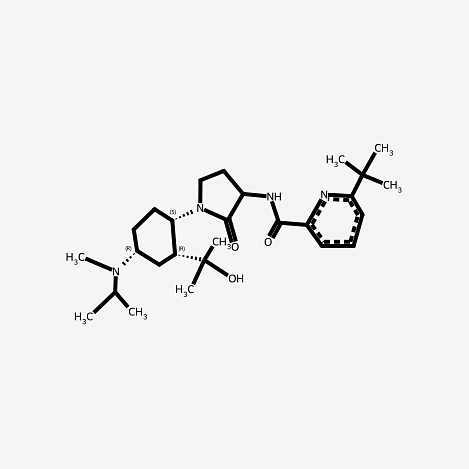 CC(C)N(C)[C@@H]1CC[C@H](N2CCC(NC(=O)c3cccc(C(C)(C)C)n3)C2=O)[C@H](C(C)(C)O)C1